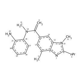 C=C(c1cc(C)c2nc(CCC)n(C)c2c1)N(C)c1ccccc1N